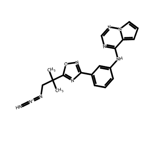 CC(C)(CN=[N+]=N)c1nc(-c2cccc(Nc3ncnn4cccc34)c2)no1